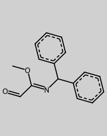 COC(C=O)=NC(c1ccccc1)c1ccccc1